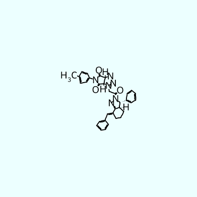 Cc1ccc(N2C(=O)[C@@H]3[C@@H](N=NN3CC(=O)N3N=C4/C(=C/c5ccccc5)CCC[C@@H]4[C@H]3c3ccccc3)C2=O)cc1